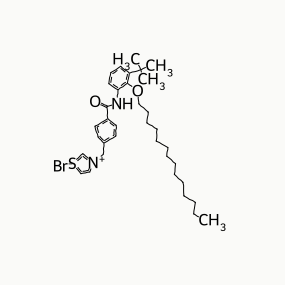 CCCCCCCCCCCCCCOc1c(NC(=O)c2ccc(C[n+]3ccsc3)cc2)cccc1C(C)(C)C.[Br-]